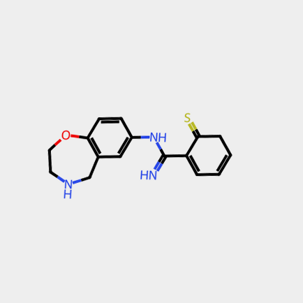 N=C(Nc1ccc2c(c1)CNCCO2)C1=CC=CCC1=S